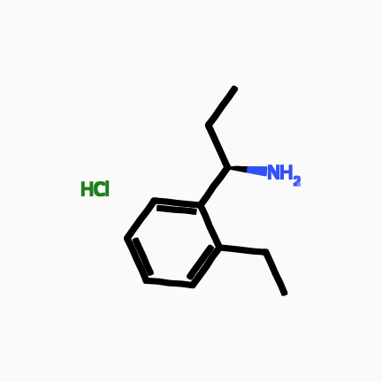 CCc1ccccc1[C@H](N)CC.Cl